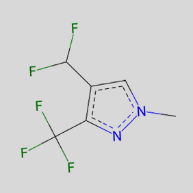 Cn1cc(C(F)F)c(C(F)(F)F)n1